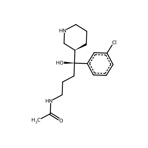 CC(=O)NCCC[C@@](O)(c1cccc(Cl)c1)[C@@H]1CCCNC1